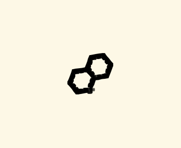 c1ccc2[o+]cccc2c1